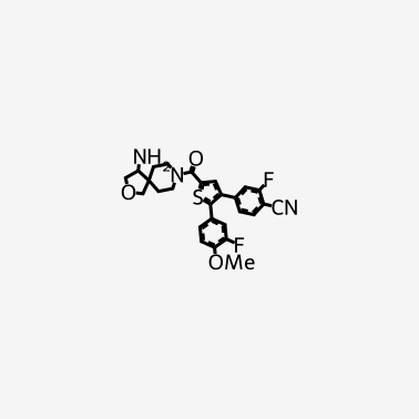 COc1ccc(-c2sc(C(=O)N3CCC4(CC3)COCC4N)cc2-c2ccc(C#N)c(F)c2)cc1F